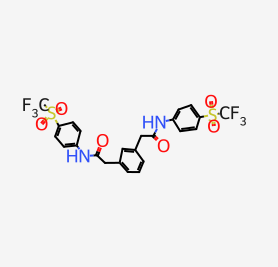 O=C(Cc1cccc(CC(=O)Nc2ccc(S(=O)(=O)C(F)(F)F)cc2)c1)Nc1ccc(S(=O)(=O)C(F)(F)F)cc1